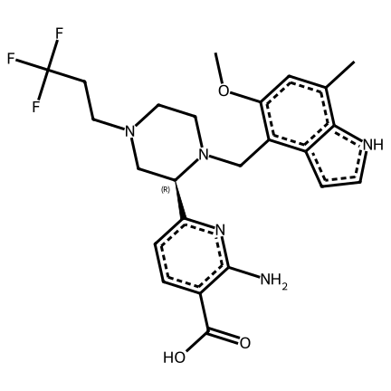 COc1cc(C)c2[nH]ccc2c1CN1CCN(CCC(F)(F)F)C[C@@H]1c1ccc(C(=O)O)c(N)n1